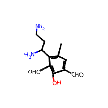 Cc1cc(C=O)c(O)c(C=O)c1C(N)CCN